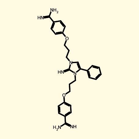 N=C(N)c1ccc(OCCCn2cc(-c3ccccc3)n(CCCOc3ccc(C(=N)N)cc3)c2=N)cc1